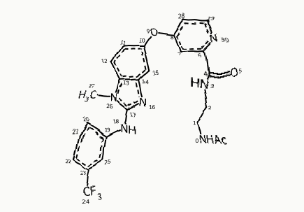 CC(=O)NCCNC(=O)c1cc(Oc2ccc3c(c2)nc(Nc2cccc(C(F)(F)F)c2)n3C)ccn1